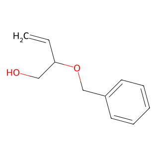 C=CC(CO)OCc1ccccc1